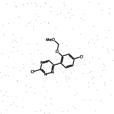 COCOc1cc(Cl)ccc1-c1cnc(Cl)nn1